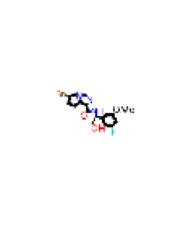 COc1cc(F)cc([C@@H](CO)NC(=O)c2ncn3cc(Br)ccc23)c1